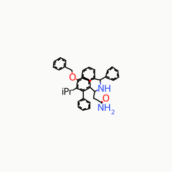 CC(C)c1c(OCc2ccccc2)ccc(C(CC(N)=O)NC(c2ccccc2)c2ccccc2)c1-c1ccccc1